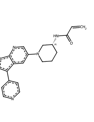 C=CC(=O)N[C@@H]1CCCN(c2cnc3[nH]cc(-c4ccncc4)c3c2)C1